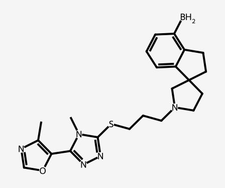 Bc1cccc2c1CCC21CCN(CCCSc2nnc(-c3ocnc3C)n2C)C1